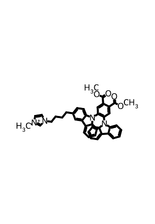 COC(=O)c1cc(-n2c3ccccc3c3ccccc32)c(-n2c3ccccc3c3cc(CCCCn4cc[n+](C)c4)ccc32)cc1C(=O)OC